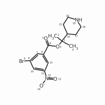 CC(C)(OC(=O)c1cc(Br)cc([N+](=O)[O-])c1)C1CCNCC1